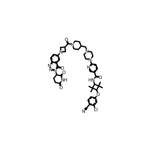 CC1(C)C(NC(=O)c2ccc(N3CCN(CC4CCN(C(=O)C5CN(c6ccc7nnn(C8CCC(=O)NC8=O)c(=O)c7c6)C5)CC4)CC3)nc2)C(C)(C)C1Oc1ccc(C#N)c(Cl)c1